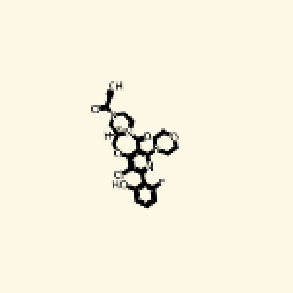 C#CC(=O)N1CCN2C(=O)c3c(N4CCOCC4)nc(-c4c(O)cccc4F)c(Cl)c3OC[C@H]2C1